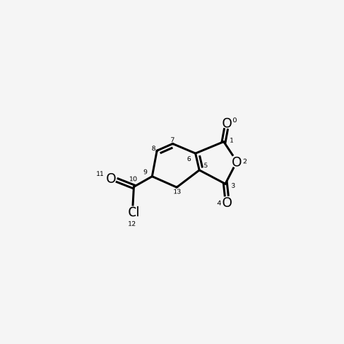 O=C1OC(=O)C2=C1C=CC(C(=O)Cl)C2